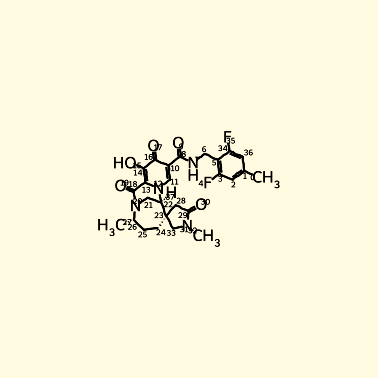 Cc1cc(F)c(CNC(=O)c2cn3c(c(O)c2=O)C(=O)N2C[C@@H]3[C@@]3(CC[C@@H]2C)CC(=O)N(C)C3)c(F)c1